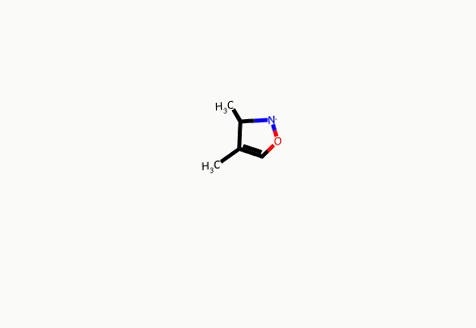 CC1=CO[N]C1C